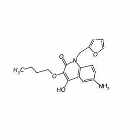 CCCCOc1c(O)c2cc(N)ccc2n(Cc2ccco2)c1=O